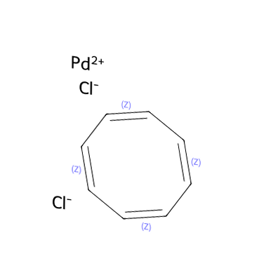 C1=C\C=C/C=C\C=C/1.[Cl-].[Cl-].[Pd+2]